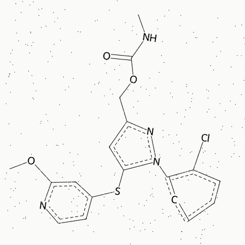 CNC(=O)OCc1cc(Sc2ccnc(OC)c2)n(-c2ccccc2Cl)n1